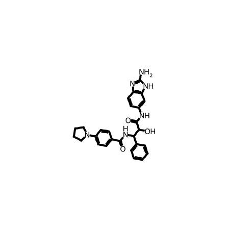 Nc1nc2ccc(NC(=O)C(O)C(NC(=O)c3ccc(N4CCCC4)cc3)c3ccccc3)cc2[nH]1